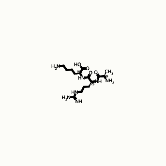 C[C@H](N)C(=O)N[C@@H](CCCNC(=N)N)C(=O)N[C@@H](CCCCN)C(=O)O